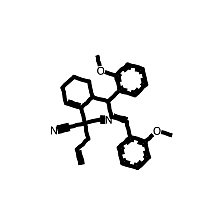 C=CCC(C#N)(C#N)C1=CCCCC1C(/C=C/c1ccccc1OC)c1ccccc1OC